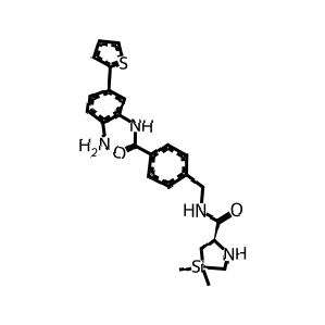 C[Si]1(C)CN[C@H](C(=O)NCc2ccc(C(=O)Nc3cc(-c4cccs4)ccc3N)cc2)C1